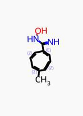 CC1=C/C=C\C(C(=N)NO)=C/C=C\1